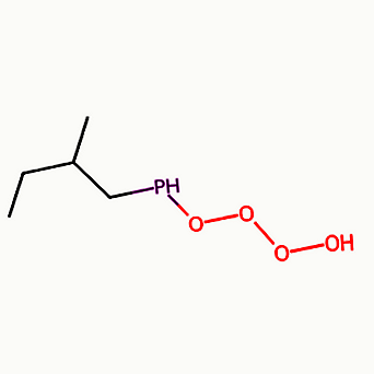 CCC(C)CPOOOO